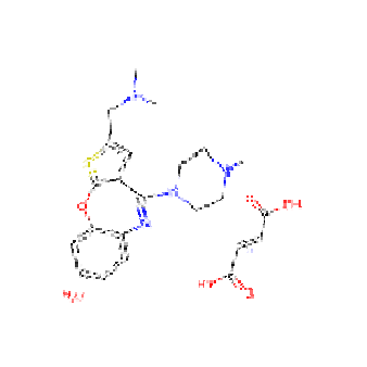 CN(C)Cc1cc2c(s1)Oc1ccccc1N=C2N1CCN(C)CC1.O.O=C(O)/C=C/C(=O)O